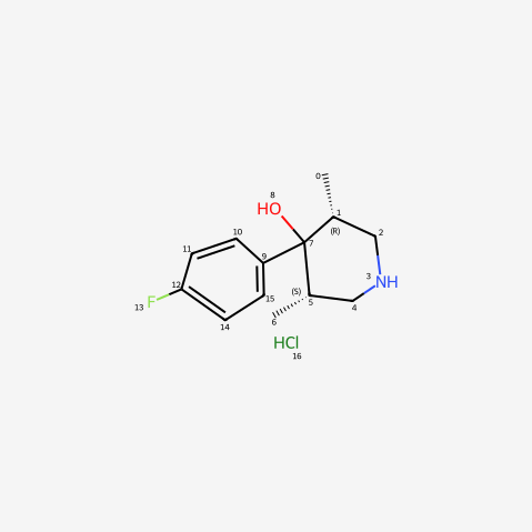 C[C@@H]1CNC[C@H](C)C1(O)c1ccc(F)cc1.Cl